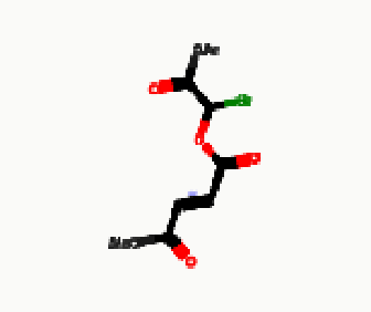 COC(=O)/C=C/C(=O)OC(Br)C(=O)OC(C)=O